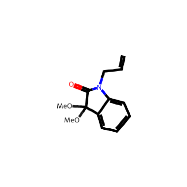 C=CCN1C(=O)C(OC)(OC)c2ccccc21